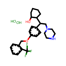 Cl.Cl.OC1CCCCC1C(CN1CCNCC1)c1ccc(OCc2ccccc2C(F)(F)F)cc1